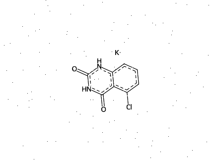 O=c1[nH]c(=O)c2c(Cl)cccc2[nH]1.[K]